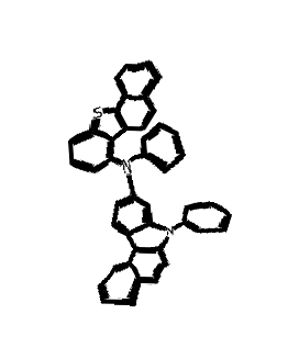 c1ccc(N(c2ccc3c4c5ccccc5ccc4n(-c4ccccc4)c3c2)c2cccc3sc4c5ccccc5ccc4c23)cc1